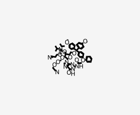 COc1ccc(C(OCC2OC(n3cnc4c(=O)[nH]c(NC(=O)COc5ccccc5)nc43)C(OCOCOCC#N)C2OP(OCCC#N)N(C(C)C)C(C)C)(c2ccccc2)c2ccc(OC)cc2)cc1